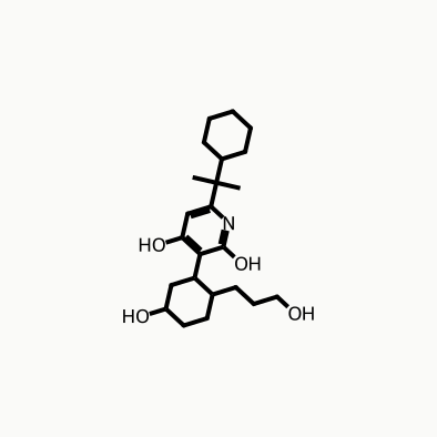 CC(C)(c1cc(O)c(C2CC(O)CCC2CCCO)c(O)n1)C1CCCCC1